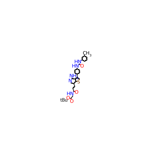 Cc1cccc(NC(=O)Nc2ccc(-c3csc4c(C=CC(=O)NCC(=O)OC(C)(C)C)cnc(N)c34)cc2)c1